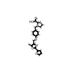 Cc1oc(-c2cccs2)nc1COc1ccc(CN2CCSC2C(=O)O)cc1